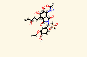 CCOc1cc([C@@H](CS(C)(=O)=O)N2C(=O)c3c(CCC(=O)CC)c(O)c(O)c(NC(C)=O)c3C2=O)ccc1OC